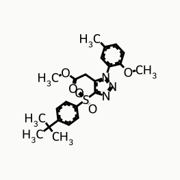 COC(=O)Cc1c(S(=O)(=O)c2ccc(C(C)(C)C)cc2)nnn1-c1cc(C)ccc1OC